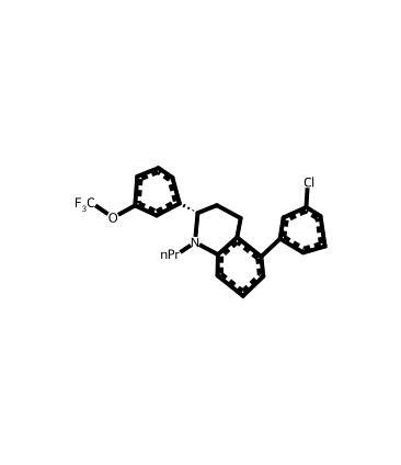 CCCN1c2cccc(-c3cccc(Cl)c3)c2CC[C@H]1c1cccc(OC(F)(F)F)c1